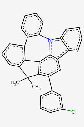 CC1(C)c2cccc3c2-c2c1c(-c1cccc(Cl)c1)cc1c4ccccc4n(c21)-c1ccccc1-3